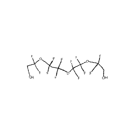 OCC(F)(F)OC(F)(F)C(F)(F)OC(F)(F)C(F)(F)OC(F)(F)CO